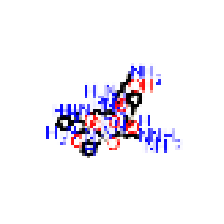 N=C(N)NCCC[C@H](NC(=O)[C@H](Cc1ccc(O)cc1)NC(=O)[C@@H](CCC(N)=O)NC(=O)[C@@H](N)CCCCN)C(=O)N[C@H](Cc1ccccc1)C(=O)N[C@@H](Cc1c[nH]c2ccccc12)C(N)=O